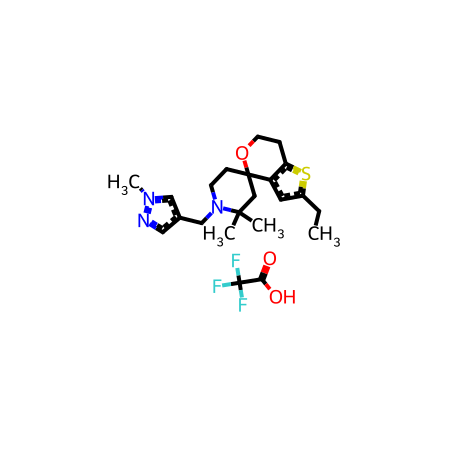 CCc1cc2c(s1)CCOC21CCN(Cc2cnn(C)c2)C(C)(C)C1.O=C(O)C(F)(F)F